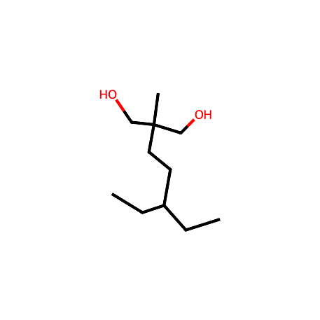 CCC(CC)CCC(C)(CO)CO